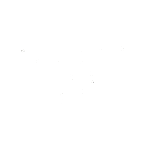 Brc1ccc(-c2c3ccccc3nc3c2ccc2ccccc23)cc1